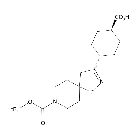 CC(C)(C)OC(=O)N1CCC2(CC1)CC([C@H]1CC[C@H](C(=O)O)CC1)=NO2